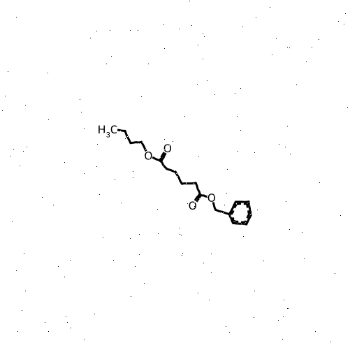 CCCCOC(=O)CCCCC(=O)OCc1ccccc1